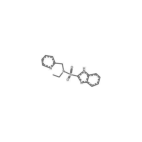 CCN(Cc1ccccn1)S(=O)(=O)c1nc2ccccc2[nH]1